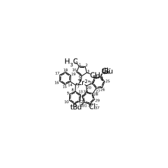 CC1=CC(C)[C]([Zr+2](=[C](c2ccccc2)c2ccccc2)[CH]2c3cc(C(C)(C)C)ccc3-c3ccc(C(C)(C)C)cc32)=C1.[Cl-].[Cl-]